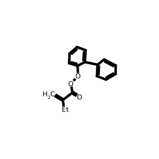 C=C(CC)C(=O)OOc1ccccc1-c1ccccc1